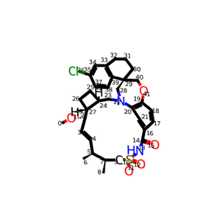 CO[C@H]1/C=C/[C@H](C)[C@H](C)CS(=O)(=O)NC(=O)c2ccc3c(c2)N(C[C@@H]2CC[C@H]21)C[C@@]1(CCCc2cc(Cl)ccc21)CO3